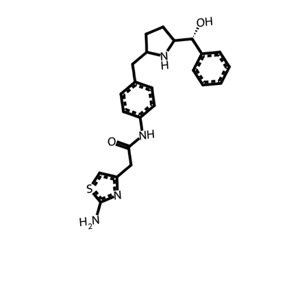 Nc1nc(CC(=O)Nc2ccc(CC3CCC([C@H](O)c4ccccc4)N3)cc2)cs1